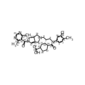 Cc1ccc(N(CCCN2CC3=CN(C(=O)c4c(C)ncnc4C)CC3C2)C(=O)C2CCC(C(=O)O)CC2)cc1Cl